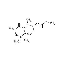 CCNC[C@H]1CC=C2C(=C1C)NC(=O)OC2(C)C